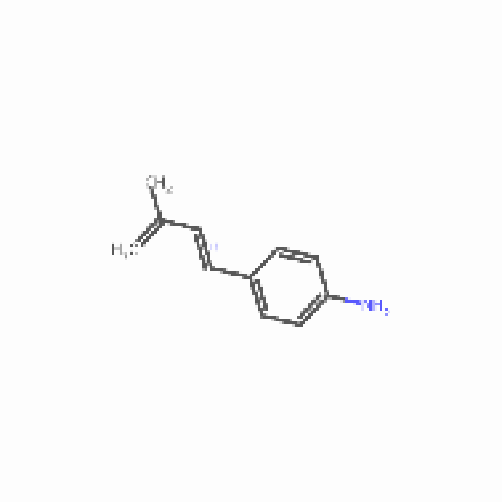 C=C(C)/C=C/c1ccc(N)cc1